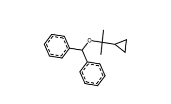 CC(C)(OC(c1ccccc1)c1ccccc1)C1CC1